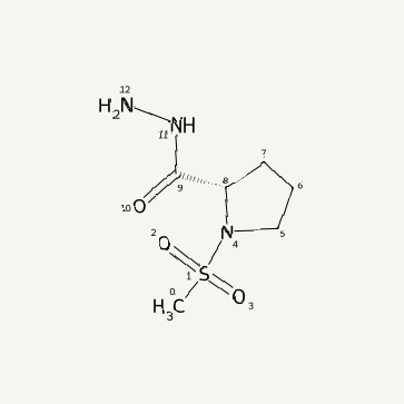 CS(=O)(=O)N1CCC[C@H]1C(=O)NN